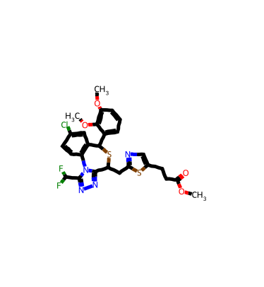 COC(=O)CCc1cnc(CC2SC(c3cccc(OC)c3OC)c3cc(Cl)ccc3-n3c(C(F)F)nnc32)s1